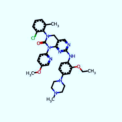 CCOc1cc(N2CCN(C)CC2)ccc1Nc1ncc2c(n1)N(c1ccc(OC)cn1)C(=O)N(c1c(C)cccc1Cl)C2